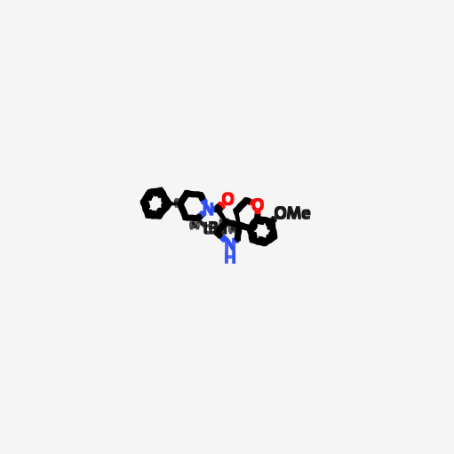 COc1cccc2c1OCC[C@]21CNC[C@H]1C(=O)N1CC[C@@H](c2ccccc2)C[C@H]1C(C)(C)C